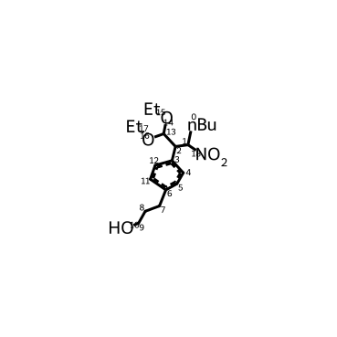 CCCCC(C(c1ccc(CCCO)cc1)C(OCC)OCC)[N+](=O)[O-]